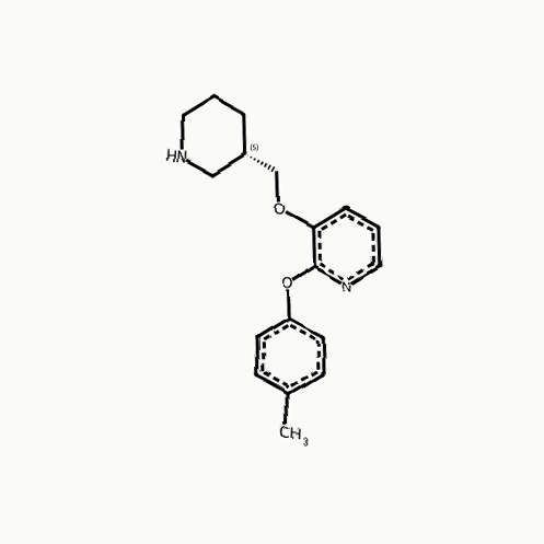 Cc1ccc(Oc2ncccc2OC[C@H]2CCCNC2)cc1